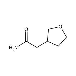 NC(=O)CC1CCOC1